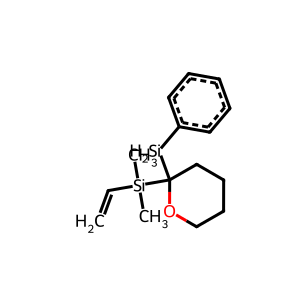 C=C[Si](C)(C)C1([SiH2]c2ccccc2)CCCCO1